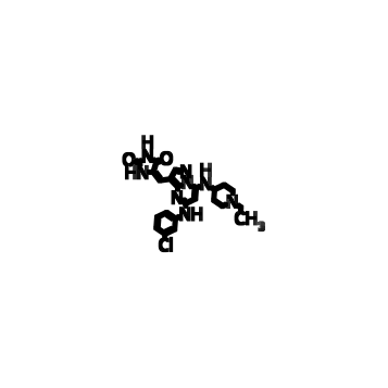 CCN1CCC(Nc2cc(Nc3cccc(Cl)c3)nc3c(C=C4NC(=O)NC4=O)cnn23)CC1